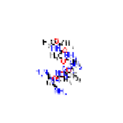 CC(N)=O.CC(N)=O.CC(N)=O.CC(N)=O.COC(C)NC(C)=O.NCCNCCN.[Gd]